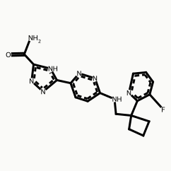 NC(=O)c1nnc(-c2ccc(NCC3(c4ncccc4F)CCC3)nn2)[nH]1